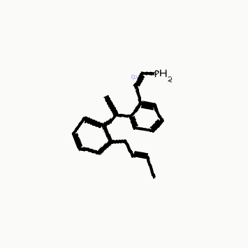 C=C(C1=CC=CCC1CC=CC)c1ccccc1/C=C\P